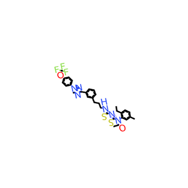 CCc1ccc(C)cc1N1C(=O)CS/C1=N\C(=S)NCCCc1cccc(-c2ncn(-c3ccc(OC(F)(F)F)cc3)n2)c1